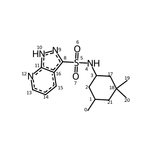 CC1CC(NS(=O)(=O)c2n[nH]c3ncccc23)CC(C)(C)C1